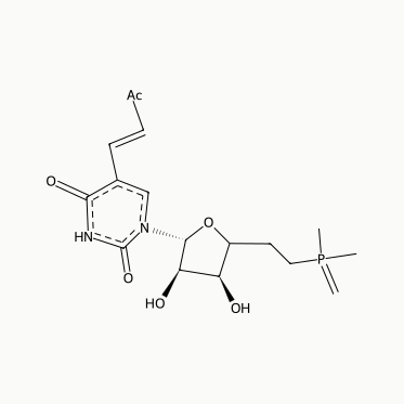 C=P(C)(C)CCC1O[C@@H](n2cc(/C=C/C(C)=O)c(=O)[nH]c2=O)[C@H](O)[C@@H]1O